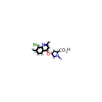 Cc1cc(O[C@@H]2CC(C(=O)O)N(C)C2)c2ccc(C)c(Br)c2n1